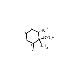 CC1CCCCC1(N)C(=O)O.Cl